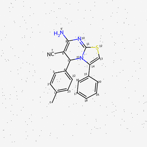 Cc1ccc(C2C(C#N)=C(N)N=C3SC=C(c4ccccc4)N32)cc1